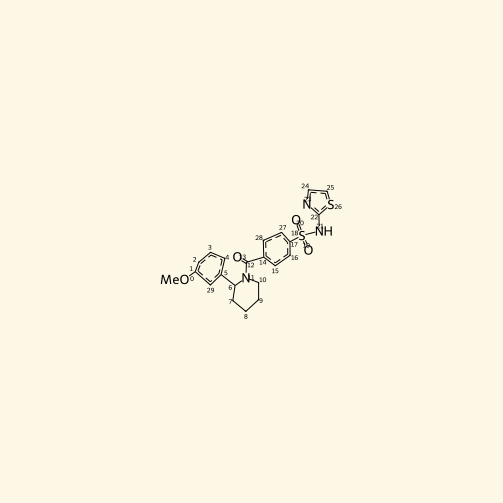 COc1cccc(C2CCCCN2C(=O)c2ccc(S(=O)(=O)Nc3nccs3)cc2)c1